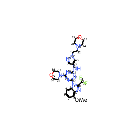 COc1cccc2c1nc(C(F)F)n2-c1nc(Nc2cnn(CCN3CCOCC3)c2)nc(N2CCOCC2)n1